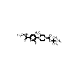 CNC(=O)c1ccc(N2CCN(C(=O)OC(C)(C)C)C[C@H]2C)c(F)n1